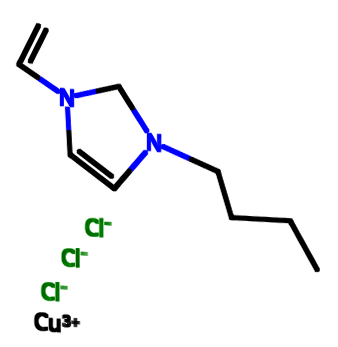 C=CN1C=CN(CCCC)C1.[Cl-].[Cl-].[Cl-].[Cu+3]